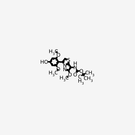 COc1cc(O)cc(OC)c1-c1csc2c(NC(=O)OC(C)(C)C)c(OC)nn12